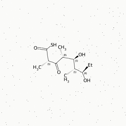 CC[C@@H](O)[C@H](C)[C@H](O)[C@@H](C)C(=O)[C@H](C)C(=O)S